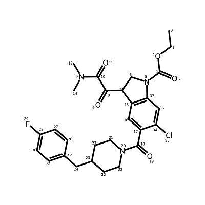 CCOC(=O)N1CC(C(=O)C(=O)N(C)C)c2cc(C(=O)N3CCC(Cc4ccc(F)cc4)CC3)c(Cl)cc21